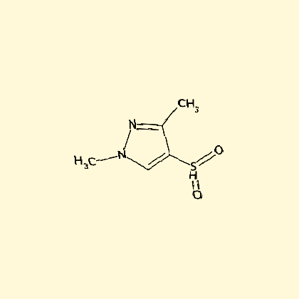 Cc1nn(C)cc1[SH](=O)=O